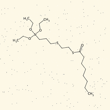 CCCCCCCC(=O)SCCSCCC[Si](OCC)(OCC)OCC